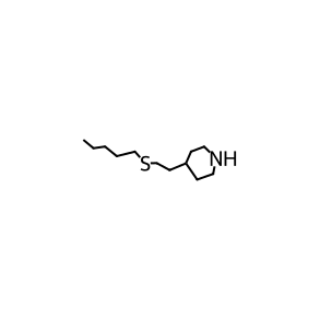 CCCCCSCCC1CCNCC1